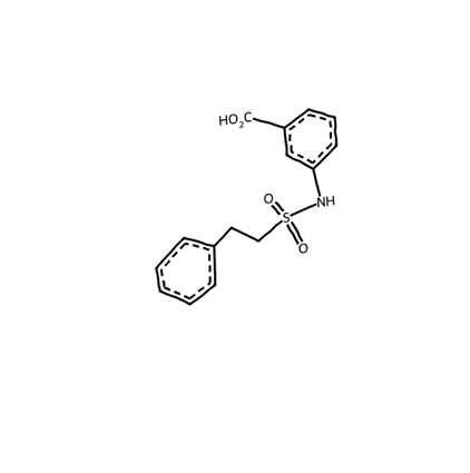 O=C(O)c1cccc(NS(=O)(=O)CCc2ccccc2)c1